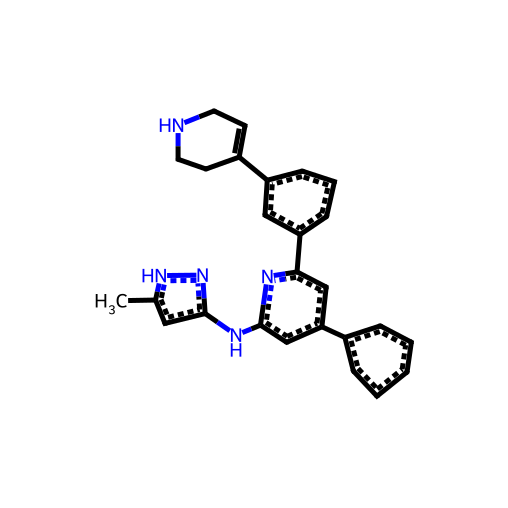 Cc1cc(Nc2cc(-c3ccccc3)cc(-c3cccc(C4=CCNCC4)c3)n2)n[nH]1